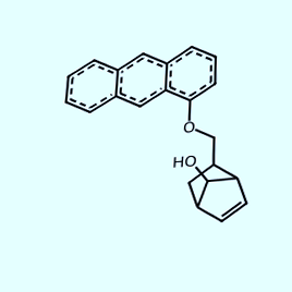 OC1C2C=CC1C(COc1cccc3cc4ccccc4cc13)C2